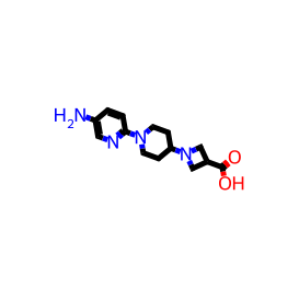 Nc1ccc(N2CCC(N3CC(C(=O)O)C3)CC2)nc1